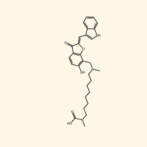 CN(CCCCCCCCN(C)C(=O)O)Cc1c(O)ccc2c1OC(=Cc1c[nH]c3ccccc13)C2=O